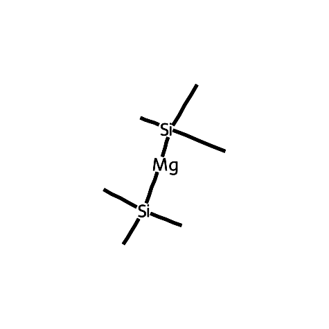 C[Si](C)(C)[Mg][Si](C)(C)C